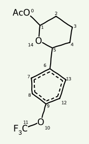 CC(=O)OC1CCCC(c2ccc(OC(F)(F)F)cc2)O1